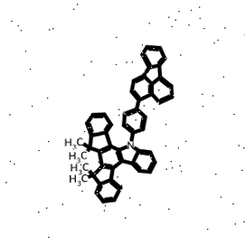 CC1(C)c2ccccc2-c2c1c1c(c3c2c2ccccc2n3-c2ccc(-c3ccc4c5c(cccc35)-c3ccccc3-4)cc2)-c2ccccc2C1(C)C